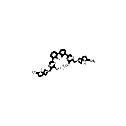 C=C1CCC2(CN(Cc3ncc(-c4cccc(-c5cccc(-c6cnc(CN7CC8(CCC(=C)N8)C7)c(OC)n6)c5Br)c4Cl)nc3OC)C2)N1